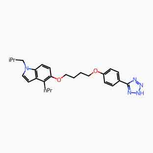 CCCc1c(OCCCCOc2ccc(-c3nn[nH]n3)cc2)ccc2c1ccn2CC(C)C